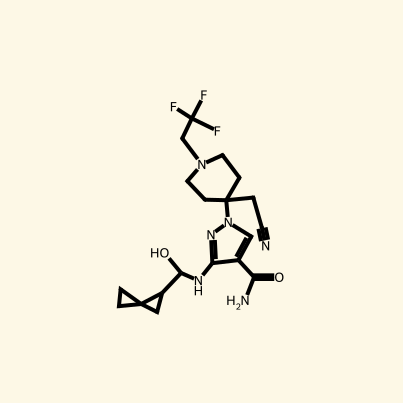 N#CCC1(n2cc(C(N)=O)c(NC(O)C3CC34CC4)n2)CCN(CC(F)(F)F)CC1